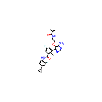 C=C(C)C(=O)NCCOc1c(N)ncnc1-c1cc(F)cc(C(=O)Nc2ccc(C3CC3)cc2F)c1C